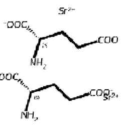 N[C@@H](CCC(=O)[O-])C(=O)[O-].N[C@@H](CCC(=O)[O-])C(=O)[O-].[Sr+2].[Sr+2]